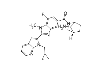 Cn1c(-c2cc3cccnc3n2CC2CC2)nc2cc(C(=O)N3C[C@H]4CCC3C4N)cc(F)c21